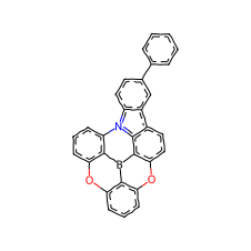 c1ccc(-c2ccc3c(c2)c2ccc4c5c2n3-c2cccc3c2B5c2c(cccc2O4)O3)cc1